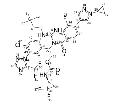 CC(C)(C)CCNC(=N)N(C(=O)c1ccc(-c2cnn(C3CC3)c2)c(F)c1)[C@H](COC(=O)N[C@H]1CC1(F)F)c1ccc(Cl)c(-n2ncnc2C(F)F)c1